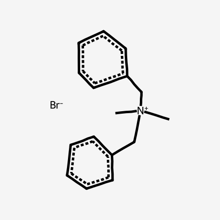 C[N+](C)(Cc1ccccc1)Cc1ccccc1.[Br-]